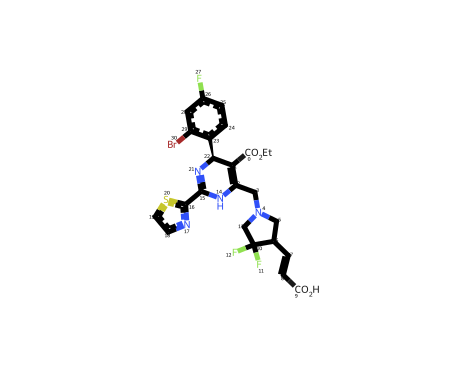 CCOC(=O)C1=C(CN2CC(/C=C/C(=O)O)C(F)(F)C2)NC(c2nccs2)=N[C@H]1c1ccc(F)cc1Br